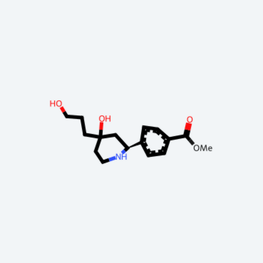 COC(=O)c1ccc([C@@H]2CC(O)(CCCO)CCN2)cc1